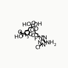 COC(COC(Cc1cccc(C(=O)O)c1)(C(=O)O)C(=O)O)CC(F)n1cnc2c(N)nc(Cl)nc21